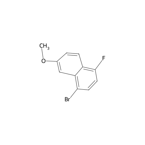 COc1ccc2c(F)ccc(Br)c2c1